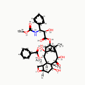 CC(=O)O[C@@]12CO[C@@H]1C[C@H](O)[C@@]1(C)C(=O)[C@H](O)C3=C(C)C(OC(=O)[C@H](O)[C@@H](NC(=O)OC(C)(C)C)c4ccccc4)C[C@@](O)([C@@H](OC(=O)c4ccccc4)[C@H]21)C3(C)C